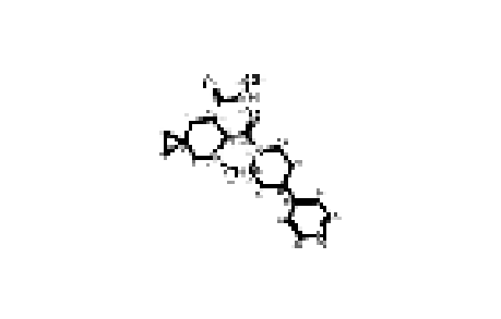 CN1CC2(CC2)C[C@H](C(=O)NO)[C@H]1C(=O)N1CCC(c2ccncc2)CC1